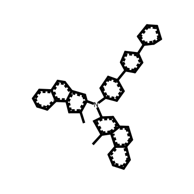 Cc1cc2c(ccc3ccccc32)cc1N(c1ccc(-c2ccc(-c3ccccc3)cc2)cc1)c1cc(C)c2c(ccc3ccccc32)c1